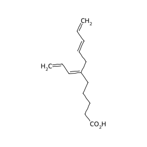 C=CC=CCC(=CC=C)CCCCC(=O)O